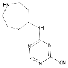 N#Cc1ncnc(NC2CCCNCC2)n1